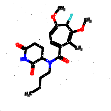 CCCCN(C(=O)C1=CC=C(OC)C(F)C(OC)=C1C)C1CCC(=O)NC1=O